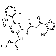 CC(C)(C)OC(=O)Nc1cc(OC(C)(C)C)c(-c2ccccc2F)cc1NC(=O)CC(=O)c1sccc1C#N